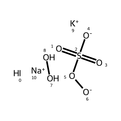 I.O=S(=O)([O-])O[O-].OO.[K+].[Na+]